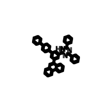 C1=C(c2ccccc2)CCC(c2cc(-c3cc4ccccc4c4ccccc34)cc(C3N=C(c4ccccc4)N=C(c4ccccc4)N3)c2)=C1